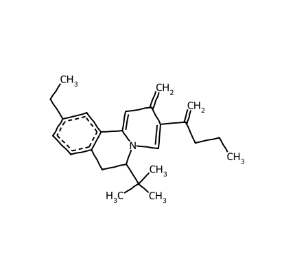 C=C1C=C2c3cc(CC)ccc3CC(C(C)(C)C)N2C=C1C(=C)CCC